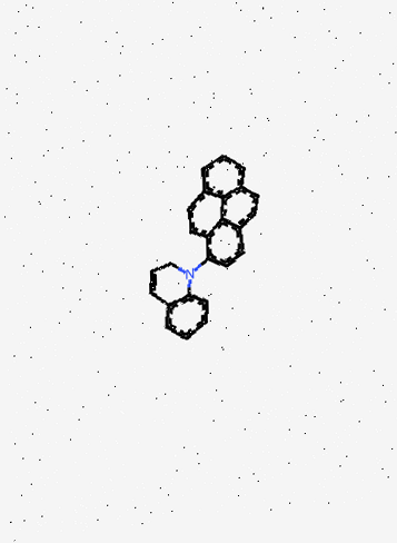 C1=Cc2ccccc2N(c2ccc3ccc4cccc5ccc2c3c45)C1